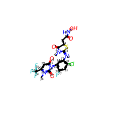 CN1C(=O)C(CC(=O)NO)SC1=Nc1cc(-n2c(=O)cc(C(F)(F)F)n(C)c2=O)c(F)cc1Cl